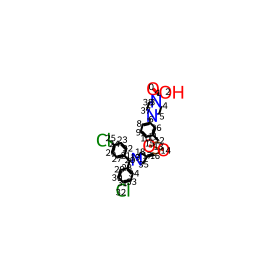 O=C(O)N1CCN(c2cccc(CS(=O)(=O)C=C3CN(C(c4ccc(Cl)cc4)c4ccc(Cl)cc4)C3)c2)CC1